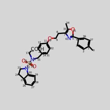 Cc1ccc(-c2nc(CCOc3ccc(CN(CC(=O)O)S(=O)(=O)N4CCc5ccccc54)cc3)c(C)o2)cc1